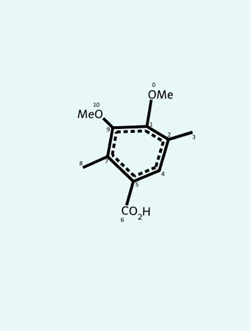 COc1c(C)cc(C(=O)O)c(C)c1OC